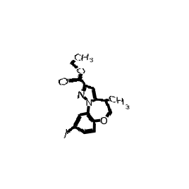 CCOC(=O)c1cc2n(n1)-c1cc(I)ccc1OCC2C